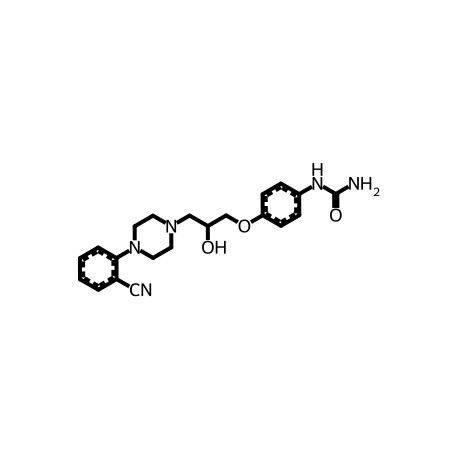 N#Cc1ccccc1N1CCN(CC(O)COc2ccc(NC(N)=O)cc2)CC1